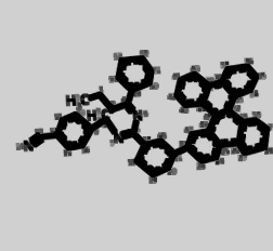 CCC(C)/C(=N\C(=N/Cc1ccc(C#N)cc1)c1cccc(-c2ccc3c4ccccc4c4c5ccccc5c5ccccc5c4c3c2)c1)c1ccccc1